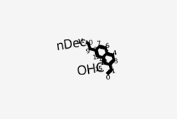 C=Cc1ccc2ccc(CCCCCCCCCCCC)cc2c1C=O